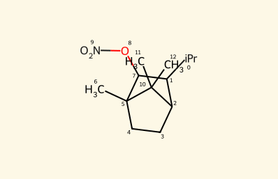 CC(C)C1C2CCC(C)(C1O[N+](=O)[O-])C2(C)C